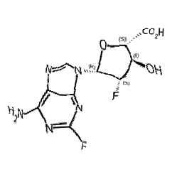 Nc1nc(F)nc2c1ncn2[C@@H]1O[C@H](C(=O)O)[C@@H](O)[C@@H]1F